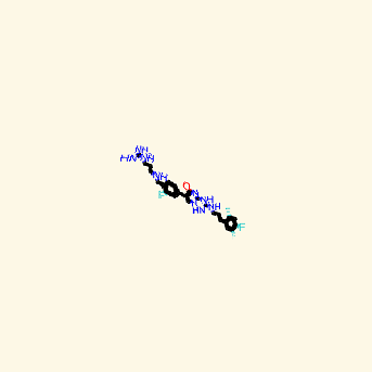 N=C(N)NCCCNCc1ccc(-c2c[nH]c(NC(=N)NCCCc3cc(F)c(F)cc3F)nc2=O)cc1F